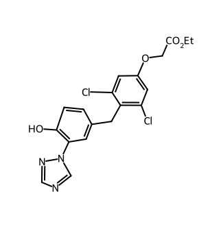 CCOC(=O)COc1cc(Cl)c(Cc2ccc(O)c(-n3cncn3)c2)c(Cl)c1